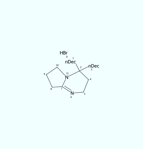 Br.CCCCCCCCCCC1(CCCCCCCCCC)CCN=C2CCCN21